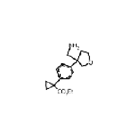 CCOC(=O)C1(c2ccc(C3(CN)CCOC3)cc2)CC1